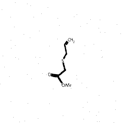 C=CCSCC(=O)OC